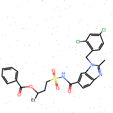 CCC(CCS(=O)(=O)NC(=O)c1ccc2nc(C)n(Cc3ccc(Cl)cc3Cl)c2c1)OC(=O)c1ccccc1